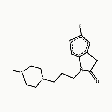 CN1CCN(CCCN2C(=O)Cc3cc(F)ccc32)CC1